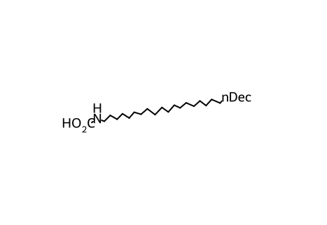 CCCCCCCCCCCCCCCCCCCCCCCCCCCCCNC(=O)O